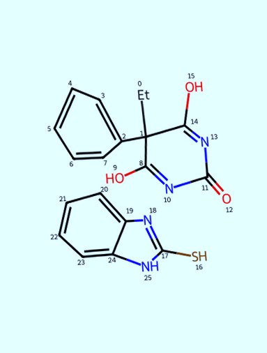 CCC1(c2ccccc2)C(O)=NC(=O)N=C1O.Sc1nc2ccccc2[nH]1